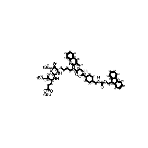 CC(C)(C)OC(=O)CC[C@H](NC(=O)N[C@@H](CCCCNC(=O)[C@H](Cc1cnc2ccccc2c1)NC(=O)C1CCC(CNC(=O)OCC2c3ccccc3-c3ccccc32)CC1)C(=O)OC(C)(C)C)C(=O)OC(C)(C)C